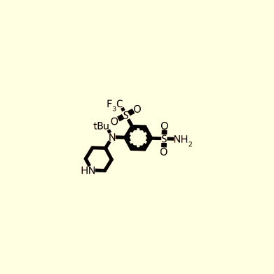 CC(C)(C)N(c1ccc(S(N)(=O)=O)cc1S(=O)(=O)C(F)(F)F)C1CCNCC1